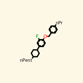 CCCCCC1CCC(c2ccc(OCc3ccc(CCC)cc3)c(F)c2)CC1